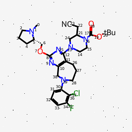 CN1CCC[C@H]1COc1nc2c(c(N3CCN(C(=O)OC(C)(C)C)C(CC#N)C3)n1)CCCN(c1cccc(F)c1Cl)C2